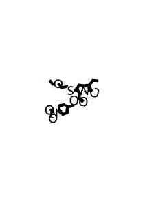 CCOCCSC1=C(C(=O)OCc2ccc([N+](=O)[O-])cc2)N2C(=O)C(CC)C2C1